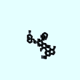 Oc1cc(-c2ncc3c(N4CC5CCC(C4)N5)nc(OCC45CCCN4C[C@H](F)C5)nc3c2F)c2c(F)c(F)ccc2c1